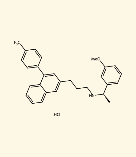 COc1cccc([C@@H](C)NCCCc2cc(-c3ccc(C(F)(F)F)cc3)c3ccccc3c2)c1.Cl